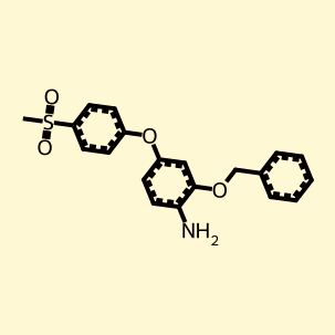 CS(=O)(=O)c1ccc(Oc2ccc(N)c(OCc3ccccc3)c2)cc1